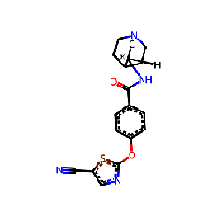 N#Cc1cnc(Oc2ccc(C(=O)N[C@H]3CN4CCC3CC4)cc2)s1